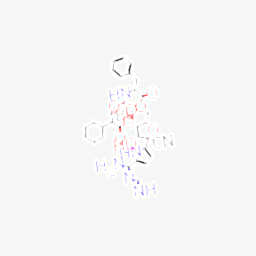 CC(C)(C)OC(=O)N[C@@H](Cc1ccccc1)C(=O)OC[C@H]1O[C@@](C#N)(c2ccc(/C(N)=N\C=N)[nH]2)[C@H](O)[C@@H]1OC(=O)CC1CCCCC1